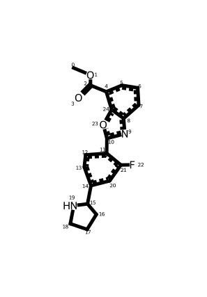 COC(=O)c1cccc2nc(-c3ccc(C4CCCN4)cc3F)oc12